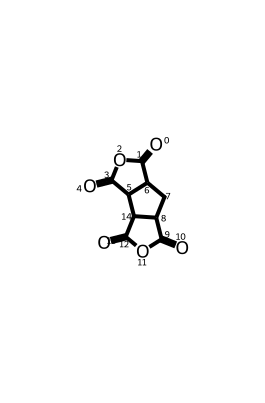 O=C1OC(=O)C2C1CC1C(=O)OC(=O)C12